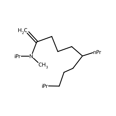 C=C(CCCC(CCC)CCCC(C)C)N(C)C(C)C